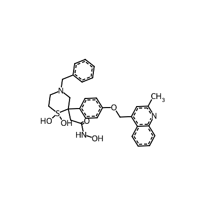 Cc1cc(COc2ccc(C3(CC(=O)NO)CN(Cc4ccccc4)CCS3(O)O)cc2)c2ccccc2n1